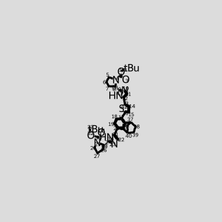 CC(C)(C)OC(=O)N1CCC[C@H]1c1ncc(-c2ccc(-c3ccc(-c4cnc([C@@H]5CCCN5C(=O)OC(C)(C)C)[nH]4)c4c3C3CCC4C3)s2)[nH]1